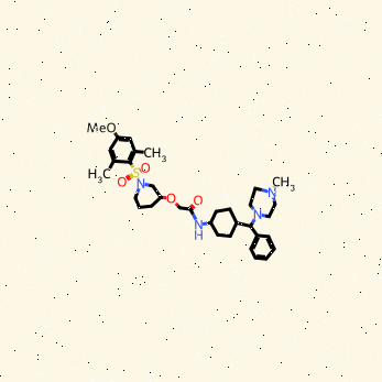 COc1cc(C)c(S(=O)(=O)N2CCCC(OCC(=O)NC3CCC(C(c4ccccc4)N4CCN(C)CC4)CC3)C2)c(C)c1